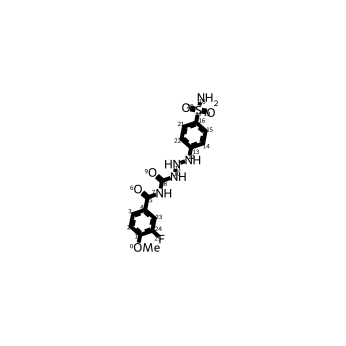 COc1ccc(C(=O)NC(=O)NNNc2ccc(S(N)(=O)=O)cc2)cc1F